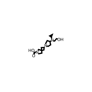 O=C(O)N1CCC2(CC(N3CCC(N(CCO)C4CC4)CC3)C2)C1